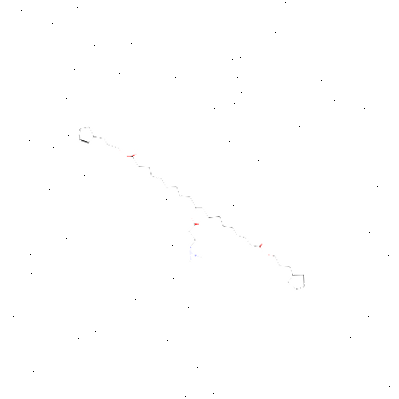 CN(C)CCCC(=O)OC(CCCCCCCCC(=O)OCCCC1C=CCC1)CCCCCCCCC(=O)OCCCC1CCCC1